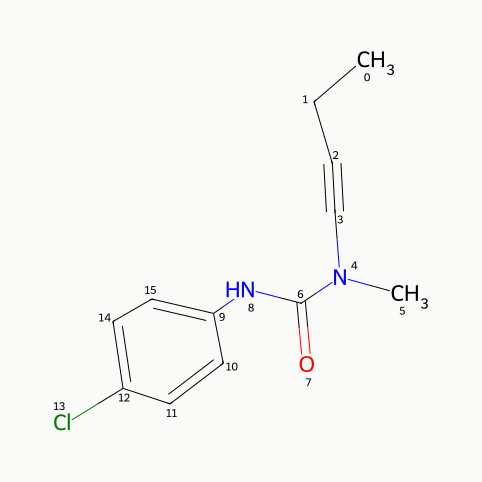 CCC#CN(C)C(=O)Nc1ccc(Cl)cc1